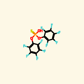 OP(=S)(Oc1c(F)c(F)c(F)c(F)c1F)Oc1c(F)c(F)c(F)c(F)c1F